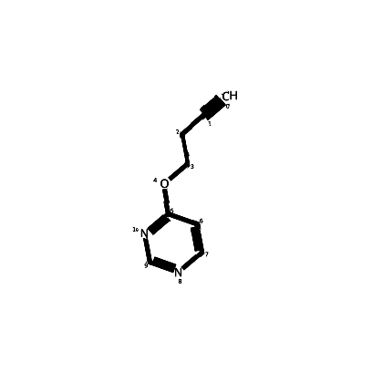 C#CCCOc1ccn[c]n1